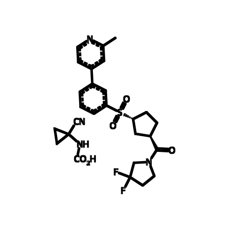 Cc1cc(-c2cccc(S(=O)(=O)[C@@H]3CC[C@@H](C(=O)N4CCC(F)(F)C4)C3)c2)ccn1.N#CC1(NC(=O)O)CC1